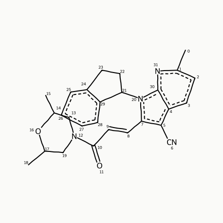 Cc1ccc2c(C#N)c(C=CC(=O)N3CC(C)OC(C)C3)n(C3CCc4ccccc43)c2n1